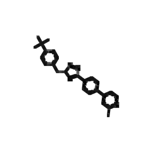 Cc1cc(-c2ccc(C3=NC(Cc4ccc(C(C)(C)C)cc4)N=N3)cc2)ccn1